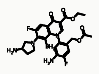 Bc1c(N2CCC(N)C2)c(F)cc2c(=O)c(C(=O)OCC)cn(-c3cc(N)c(F)cc3COC(C)=O)c12